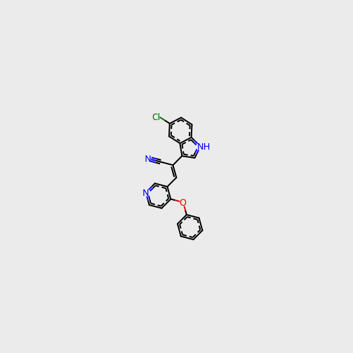 N#CC(=Cc1cnccc1Oc1ccccc1)c1c[nH]c2ccc(Cl)cc12